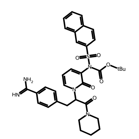 CC(C)(C)OC(=O)N(c1cccn(C(Cc2ccc(C(=N)N)cc2)C(=O)N2CCCCC2)c1=O)S(=O)(=O)c1ccc2ccccc2c1